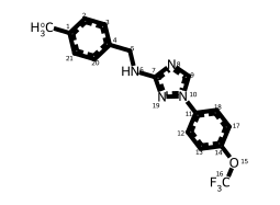 Cc1ccc(CNc2ncn(-c3ccc(OC(F)(F)F)cc3)n2)cc1